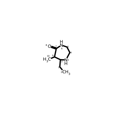 CCC1NCCNC(=O)C1C